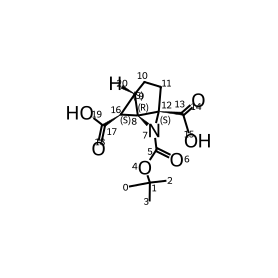 CC(C)(C)OC(=O)N1[C@@]23[C@@H](CC[C@]12C(=O)O)[C@@H]3C(=O)O